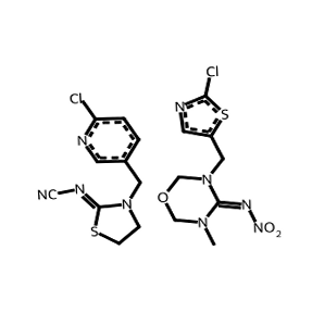 CN1COCN(Cc2cnc(Cl)s2)/C1=N/[N+](=O)[O-].N#C/N=C1\SCCN1Cc1ccc(Cl)nc1